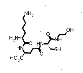 NCCCC[C@H](N)C(=O)N[C@@H](CCC(=O)N[C@@H](CS)C(=O)NCCO)C(=O)O